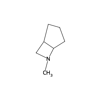 CN1CC2CCCC21